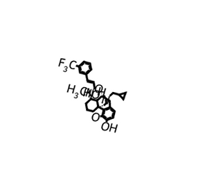 CN(C(=O)/C=C/c1cccc(C(F)(F)F)c1)C1CCC2Oc3c(O)ccc4c3[C@@]23CCN(CC2CC2)[C@H](C4)[C@]13O